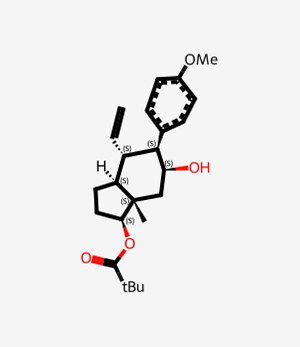 C=C[C@@H]1[C@@H](c2ccc(OC)cc2)[C@@H](O)C[C@]2(C)[C@@H](OC(=O)C(C)(C)C)CC[C@@H]12